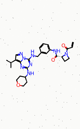 C=CC(=O)N1CC[C@@H]1C(=O)Nc1cccc(CNc2nc(NC3CCOCC3)nc3c(C(C)C)cnn23)c1